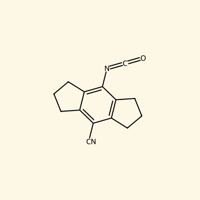 N#Cc1c2c(c(N=C=O)c3c1CCC3)CCC2